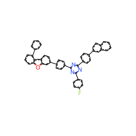 Fc1ccc(-c2nc(-c3ccc(-c4ccc5ccccc5c4)cc3)nc(-c3ccc(-c4ccc5c(c4)oc4cccc(-c6ccccc6)c45)cc3)n2)cc1